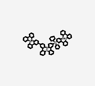 c1ccc([Si](c2ccccc2)(c2ccc3c(c2)-c2ccccc2N2B3c3ccccc3-c3ccccc32)c2ccc3c(c2)-c2ccccc2N2B3c3ccc(-c4ccc5c(c4)-c4ccccc4N4B5c5ccccc5-c5ccccc54)cc3-c3ccccc32)cc1